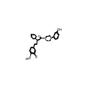 COc1ccc(CC/C(=C/C(=O)N2CCN(c3cccc(O)c3)CC2)c2ccccc2)cc1F